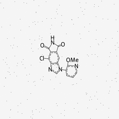 COc1ncccc1-n1cnc2c(Cl)c3c(cc21)C(=O)NC3=O